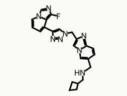 Fc1ncn2cccc(-c3cn(Cc4cn5cc(CNCC6CCC6)ccc5n4)nn3)c12